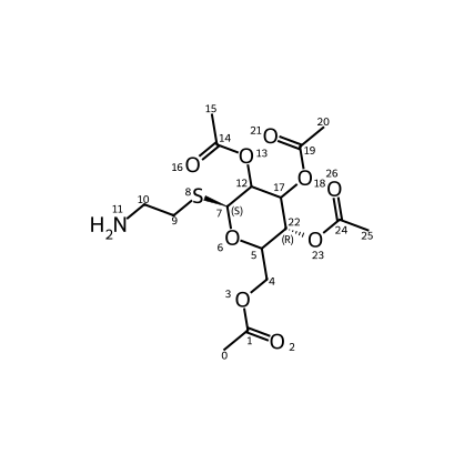 CC(=O)OCC1O[C@@H](SCCN)C(OC(C)=O)C(OC(C)=O)[C@@H]1OC(C)=O